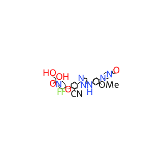 COc1cc(Nc2ccnc(-c3ccc(O[C@H]4CCN(C(=O)[C@@H](O)CO)CC4(F)F)c(C#N)c3)n2)ccc1N1CCN(C2COC2)CC1